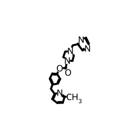 Cc1cccc(Cc2ccc(OC(=O)N3CCN(Cc4cnccn4)CC3)cc2)n1